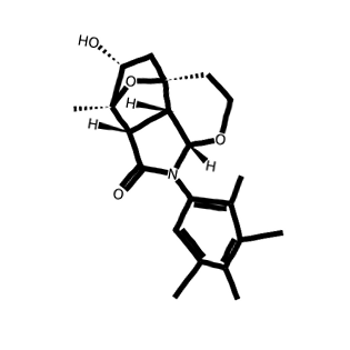 Cc1cc(N2C(=O)[C@H]3[C@H]4[C@@H]2OCC[C@]42C[C@@H](O)[C@@]3(C)O2)c(C)c(C)c1C